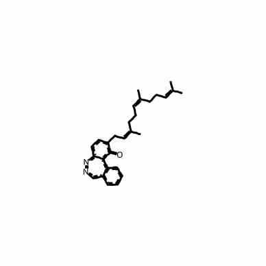 CC(C)=CCCC(C)=CCCC(C)=CCc1ccc2nncc3ccccc3c-2c1=O